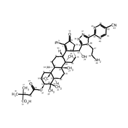 CC(C)C1=C2[C@H]3CC[C@@H]4[C@@]5(C)CC[C@H](OC(=O)CC(C)(C)C(=O)O)C(C)(C)[C@@H]5CC[C@@]4(C)[C@]3(C)CC[C@@]2([C@@H](O)c2nnc(-c3ncc(C#N)cn3)n2CCN)CC1=O